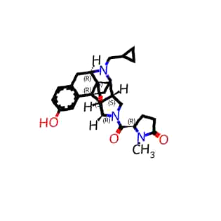 CN1C(=O)CC[C@@H]1C(=O)N1C[C@H]2C[C@@]34CC[C@@H]1[C@@H]2[C@@]31CCN(CC2CC2)[C@@H]4Cc2ccc(O)cc21